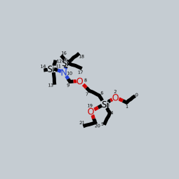 CCO[Si](CC)(CCOCN([Si](C)(C)C)[Si](C)(C)C)OCC